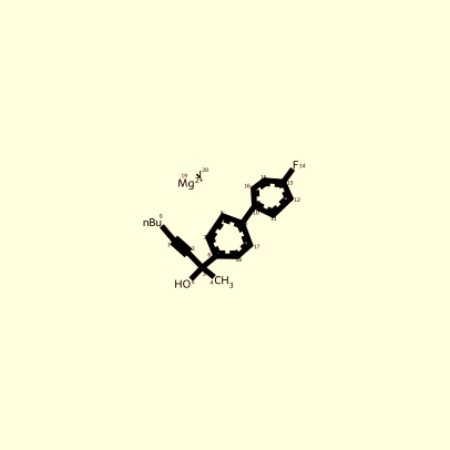 CCCCC#CC(C)(O)c1ccc(-c2ccc(F)cc2)cc1.[Mg+2][I]